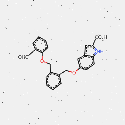 O=Cc1ccccc1OCc1ccccc1COc1ccc2[nH]c(C(=O)O)cc2c1